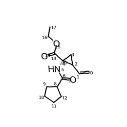 C=CC1C[C@]1(NC(=O)C1CCCC1)C(=O)OCC